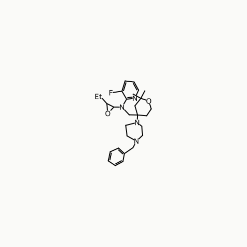 CCC1OC1N(CC1(N2CCN(Cc3ccccc3)CC2)CCOC(C)(C)C1)c1ncccc1F